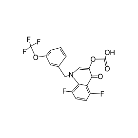 O=C(O)Oc1cn(Cc2cccc(OC(F)(F)F)c2)c2c(F)ccc(F)c2c1=O